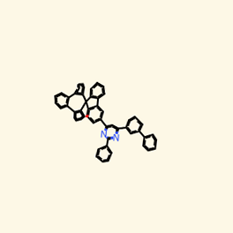 c1ccc(-c2cccc(-c3cc(-c4ccc5c(c4)-c4ccccc4C54c5ccccc5-c5ccccc5-c5ccccc54)nc(-c4ccccc4)n3)c2)cc1